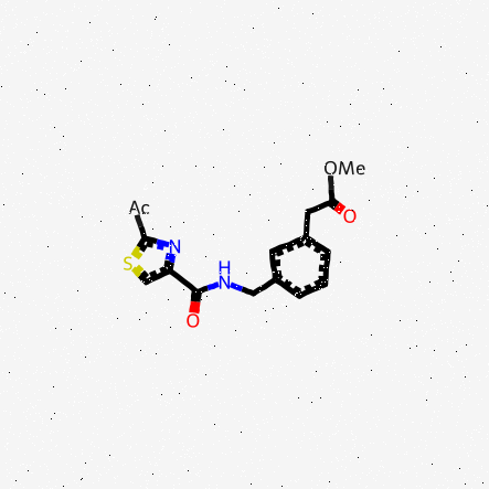 COC(=O)Cc1cccc(CNC(=O)c2csc(C(C)=O)n2)c1